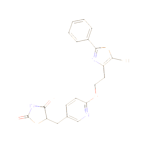 Cc1sc(-c2ccccc2)nc1CCOc1ccc(CC2SC(=O)NC2=O)cn1